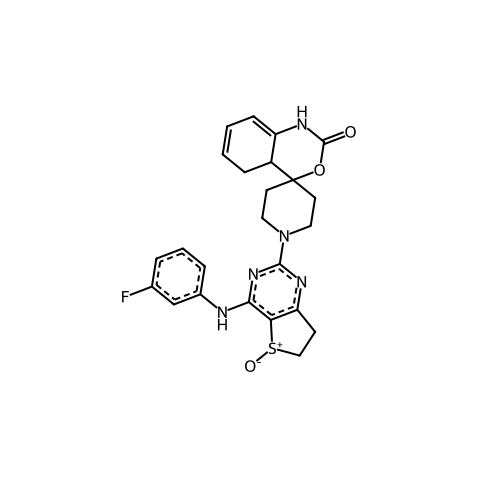 O=C1NC2=CC=CCC2C2(CCN(c3nc4c(c(Nc5cccc(F)c5)n3)[S+]([O-])CC4)CC2)O1